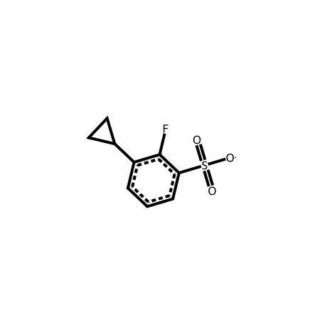 [O]S(=O)(=O)c1cccc(C2CC2)c1F